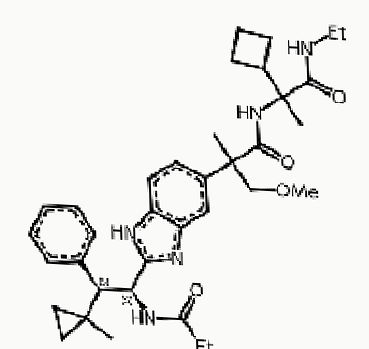 CCNC(=O)C(C)(NC(=O)C(C)(COC)c1ccc2[nH]c([C@@H](NC(=O)CC)[C@H](c3ccccc3)C3(C)CC3)nc2c1)C1CCC1